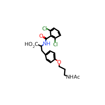 CC(=O)NCCCOc1ccc(CC(NC(=O)c2c(Cl)cccc2Cl)C(=O)O)cc1